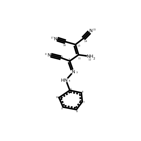 N#CC(=NNc1ccccc1)C(N)=C(C#N)C#N